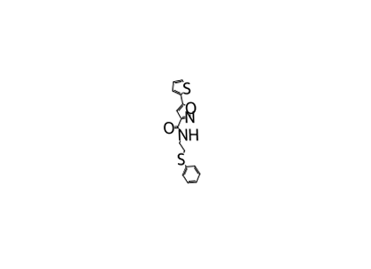 O=C(NCCSc1ccccc1)c1cc(-c2cccs2)on1